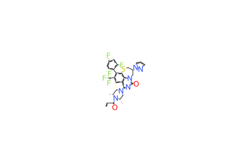 C=CC(=O)N1[C@H](C)CN(c2nc(=O)n3c4c(c(-c5ccc(F)cc5F)c(C(F)(F)F)cc24)SCC(n2cccn2)C3)C[C@@H]1C